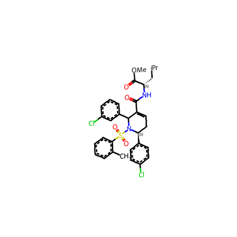 COC(=O)[C@H](CC(C)C)NC(=O)C1=CC[C@@H](c2ccc(Cl)cc2)N(S(=O)(=O)c2ccccc2C)C1c1cccc(Cl)c1